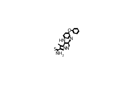 Cc1c(C(N)=S)cn2ncc(C#N)c(Nc3ccc(Oc4ccccc4)cc3)c12